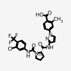 Cc1cc(-n2ccc(NC(=O)[C@@H]3CCCN3C(=O)Nc3ccc(C(F)(F)F)c(Cl)c3)n2)ccc1C(=O)O